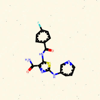 NC(=O)c1nc(Nc2cccnc2)sc1NC(=O)c1ccc(F)cc1